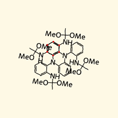 COC(C)(Nc1ccccc1N(c1ccccc1NC(C)(OC)OC)c1ccccc1N(c1ccccc1NC(C)(OC)OC)c1ccccc1NC(C)(OC)OC)OC